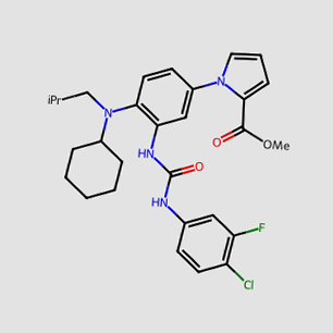 COC(=O)c1cccn1-c1ccc(N(CC(C)C)C2CCCCC2)c(NC(=O)Nc2ccc(Cl)c(F)c2)c1